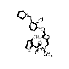 Cc1ccsc1S(=O)(=O)N(C)CC1CC(Oc2cccc(CN3CCCC3)c2Cl)C1